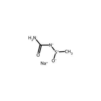 C[S+]([O-])[N-]C(N)=O.[Na+]